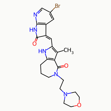 Cc1c(C=C2C(=O)Nc3ncc(Br)cc32)[nH]c2c1C(=O)N(CCN1CCOCC1)CCC2